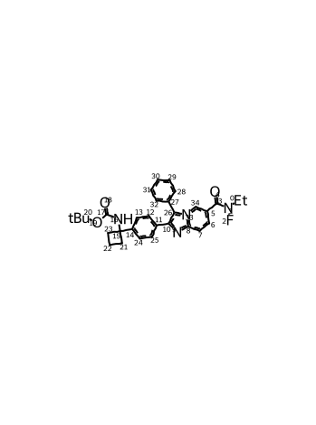 CCN(F)C(=O)c1ccc2nc(-c3ccc(C4(NC(=O)OC(C)(C)C)CCC4)cc3)c(-c3ccccc3)n2c1